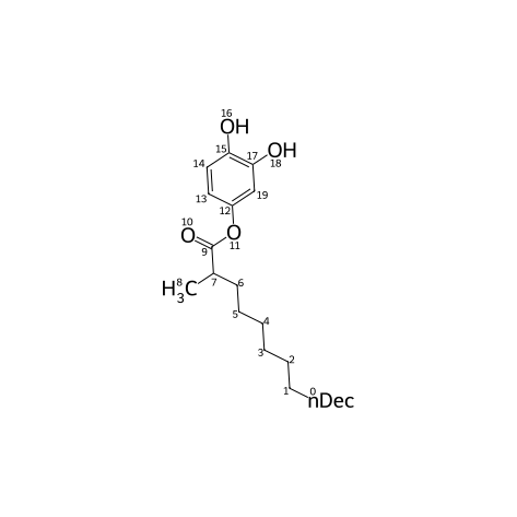 CCCCCCCCCCCCCCCCC(C)C(=O)Oc1ccc(O)c(O)c1